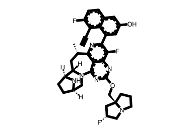 C#Cc1c(F)ccc2cc(O)cc(-c3nc4c5c(nc(OC[C@@]67CCCN6C[C@H](F)C7)nc5c3F)N3C[C@H]5CC[C@H](N5)[C@@H]3C[C@@H]4C)c12